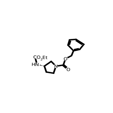 CCOC(=O)N[C@H]1CCN(C(=O)OCc2ccccc2)C1